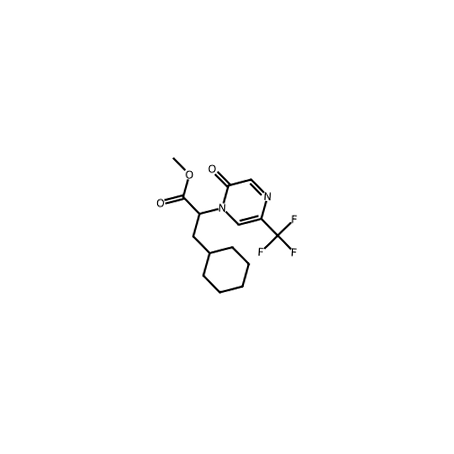 COC(=O)C(CC1CCCCC1)n1cc(C(F)(F)F)ncc1=O